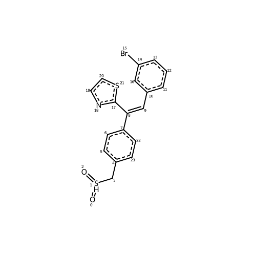 O=[SH](=O)Cc1ccc(C(=Cc2cccc(Br)c2)c2nccs2)cc1